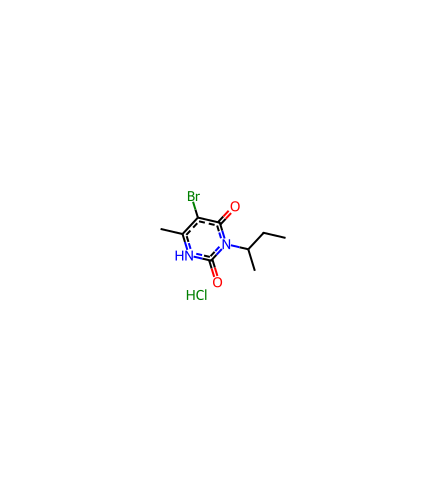 CCC(C)n1c(=O)[nH]c(C)c(Br)c1=O.Cl